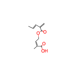 C=C(C=CC)C(=O)OCC=C(C)C(=O)O